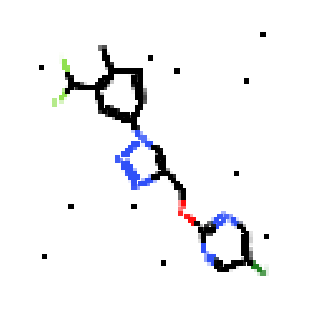 Cc1ccc(-n2cc(COc3ncc(Cl)cn3)nn2)cc1C(F)F